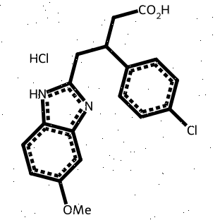 COc1ccc2[nH]c(CC(CC(=O)O)c3ccc(Cl)cc3)nc2c1.Cl